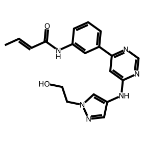 CC=CC(=O)Nc1cccc(-c2cc(Nc3cnn(CCO)c3)ncn2)c1